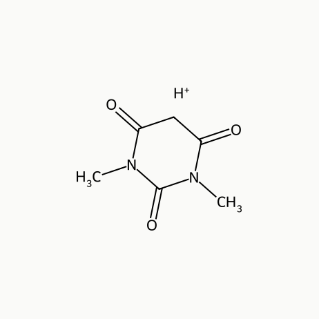 CN1C(=O)CC(=O)N(C)C1=O.[H+]